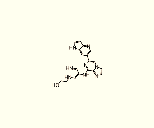 N=C/C(=C\NCCO)Nc1nc(-c2cnc3cc[nH]c3c2)cn2ccnc12